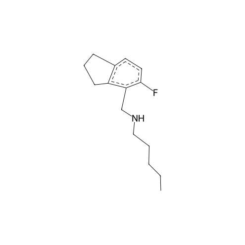 CCCCCNCc1c(F)ccc2c1CCC2